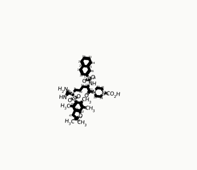 Cc1c(C)c(S(=O)(=O)N(CCCC(NS(=O)(=O)c2ccc3ccccc3c2)C(=O)N2CCN(C(=O)O)CC2)C(=N)N)c(C)c2c1OC(C)(C)C2